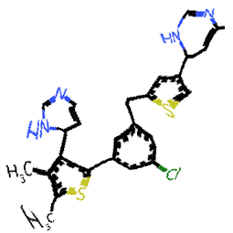 Cc1sc(-c2cc(Cl)cc(Cc3cc(C4C=CN=CN4)cs3)c2)c(C2C=CN=CN2)c1C